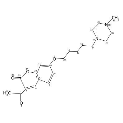 CC(=O)c1cc2ccc(OCCCCCN3CCN(C)CC3)cc2oc1=O